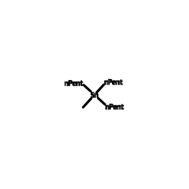 CCCC[CH2][Sn]([CH3])([CH2]CCCC)[CH2]CCCC